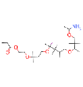 CCC(=O)OCCOC(C)(C)CCOC(C)(I)C(C)(C)C(C)COC(C)C(C)(C)COC(C)N